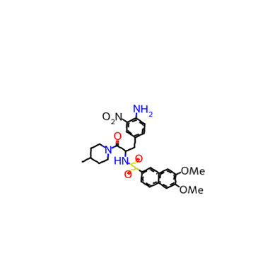 COc1cc2ccc(S(=O)(=O)NC(Cc3ccc(N)c([N+](=O)[O-])c3)C(=O)N3CCC(C)CC3)cc2cc1OC